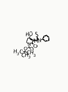 CC(C)(C)OC(=O)N1CCC(O)=C(C(=S)Nc2ccccc2)C1=O